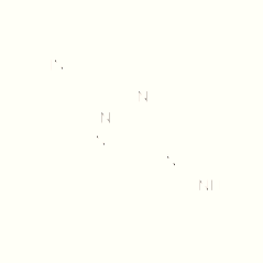 C1=CN(c2ccnc3c2cnn3C2CCNCC2)CNC1